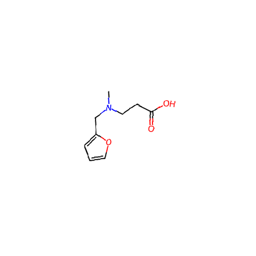 CN(CCC(=O)O)Cc1ccco1